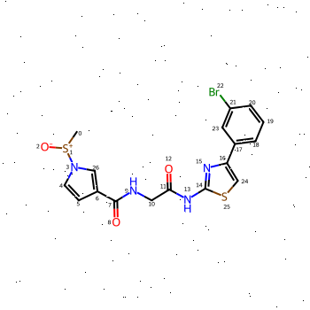 C[S+]([O-])n1ccc(C(=O)NCC(=O)Nc2nc(-c3cccc(Br)c3)cs2)c1